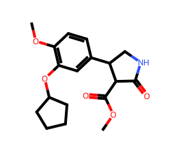 COC(=O)C1C(=O)NCC1c1ccc(OC)c(OC2CCCC2)c1